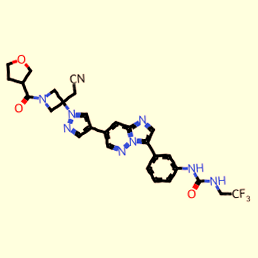 N#CCC1(n2cc(-c3cnn4c(-c5cccc(NC(=O)NCC(F)(F)F)c5)cnc4c3)cn2)CN(C(=O)C2CCOC2)C1